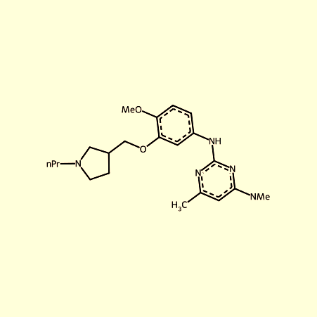 CCCN1CCC(COc2cc(Nc3nc(C)cc(NC)n3)ccc2OC)C1